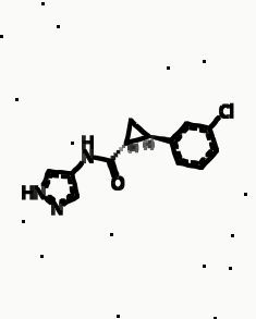 O=C(Nc1cn[nH]c1)[C@@H]1C[C@H]1c1cccc(Cl)c1